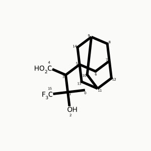 CC(O)(C(C(=O)O)C12CC3CC(CC(C3)C1)C2)C(F)(F)F